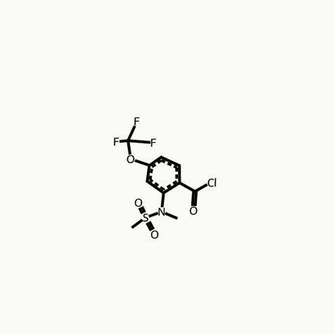 CN(c1cc(OC(F)(F)F)ccc1C(=O)Cl)S(C)(=O)=O